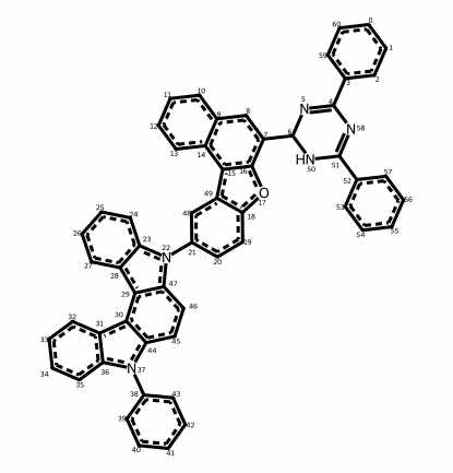 c1ccc(C2=NC(c3cc4ccccc4c4c3oc3ccc(-n5c6ccccc6c6c7c8ccccc8n(-c8ccccc8)c7ccc65)cc34)NC(c3ccccc3)=N2)cc1